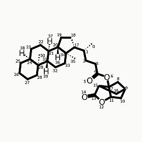 C[C@H](CCC(=O)OC12CC3CC1OC(=O)C2C3)[C@H]1CC[C@H]2[C@@H]3CC[C@@H]4CCCC[C@]4(C)[C@H]3CC[C@]12C